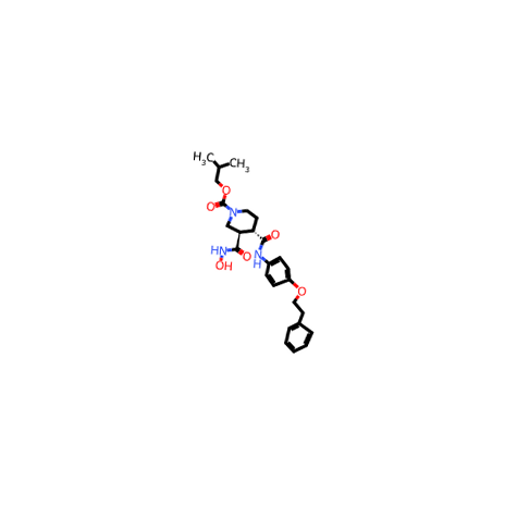 CC(C)COC(=O)N1CC[C@H](C(=O)Nc2ccc(OCCc3ccccc3)cc2)[C@@H](C(=O)NO)C1